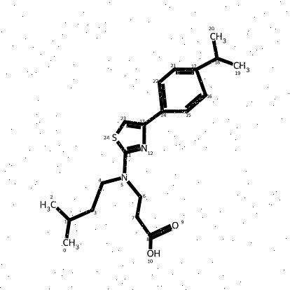 CC(C)CCN(CCC(=O)O)c1nc(-c2ccc(C(C)C)cc2)cs1